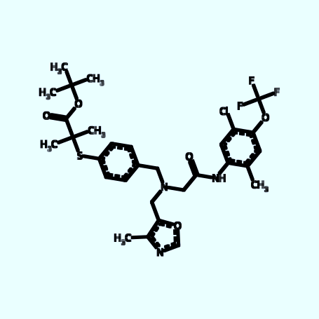 Cc1cc(OC(F)(F)F)c(Cl)cc1NC(=O)CN(Cc1ccc(SC(C)(C)C(=O)OC(C)(C)C)cc1)Cc1ocnc1C